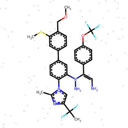 COCc1ccc(-c2ccc(-n3cc(C(C)(F)F)nc3C)c(N(N)/C(=C\N)c3ccc(OC(F)(F)F)cc3)c2)cc1SC